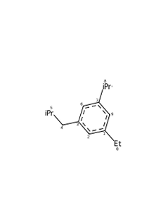 CCc1cc(CC(C)C)cc([C](C)C)c1